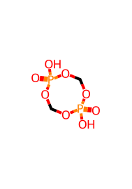 O=P1(O)OCOP(=O)(O)OCO1